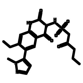 CCCC(=O)CS(=O)(=O)Nn1c(=O)[nH]c2cc(CC)c(-c3ccnn3C)cc2c1=O